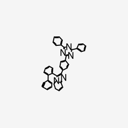 c1cccc(-c2ccccc2-c2c(-c3ccc(-c4nc(-c5ccccc5)nc(-c5ccccc5)n4)cc3)nc3n2CCC=C3)c#1